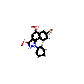 COc1cc2c(OC)nn(-c3ccccc3)c2c2ccc(Br)cc12